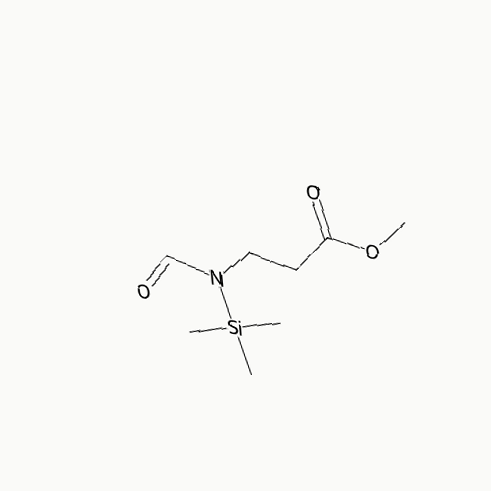 COC(=O)CCN(C=O)[Si](C)(C)C